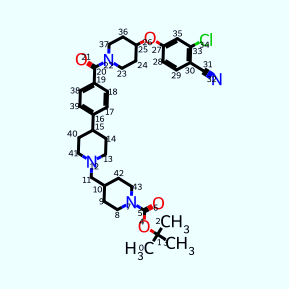 CC(C)(C)OC(=O)N1CCC(CN2CCC(c3ccc(C(=O)N4CCC(Oc5ccc(C#N)c(Cl)c5)CC4)cc3)CC2)CC1